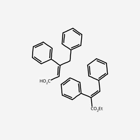 CCOC(=O)C(=Cc1ccccc1)c1ccccc1.O=C(O)C=C(Cc1ccccc1)c1ccccc1